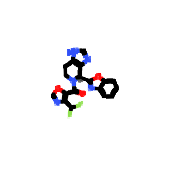 O=C(c1ocnc1C(F)F)N1CCc2[nH]cnc2[C@H]1c1nc2ccccc2o1